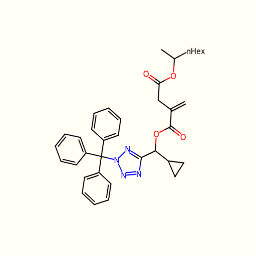 C=C(CC(=O)OC(C)CCCCCC)C(=O)OC(c1nnn(C(c2ccccc2)(c2ccccc2)c2ccccc2)n1)C1CC1